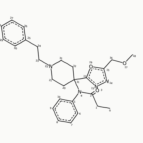 CCC(=O)N(c1ccccc1)C1(c2nnc(COC)o2)CCN(CCc2ccccc2)CC1